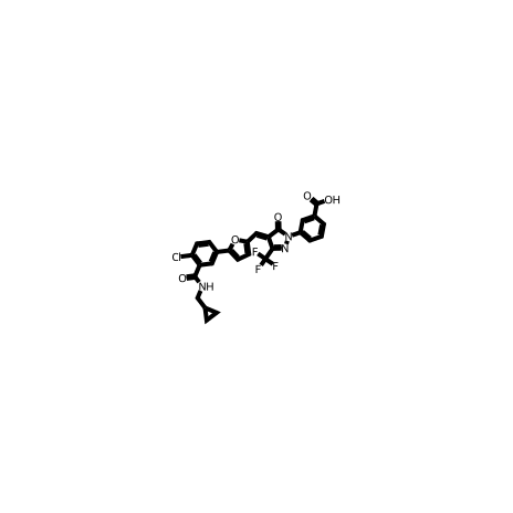 O=C(O)c1cccc(N2N=C(C(F)(F)F)/C(=C\c3ccc(-c4ccc(Cl)c(C(=O)NCC5CC5)c4)o3)C2=O)c1